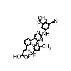 COc1cc(C#N)cc(Nc2ncc(-c3cccc(C=CC(=O)O)c3)c(-n3nc(C(F)(F)F)cc3C)n2)c1